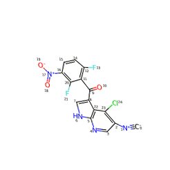 [C-]#[N+]c1cnc2[nH]cc(C(=O)c3c(F)ccc([N+](=O)[O-])c3F)c2c1Cl